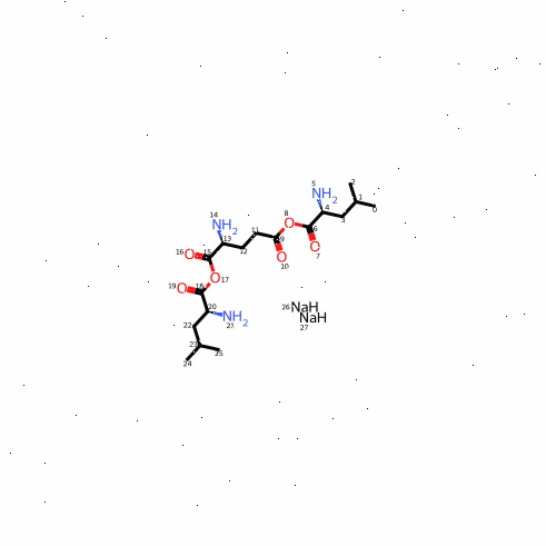 CC(C)C[C@H](N)C(=O)OC(=O)CC[C@H](N)C(=O)OC(=O)[C@@H](N)CC(C)C.[NaH].[NaH]